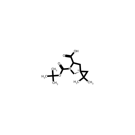 CC(C)(C)OC(=O)N1C[C@]2(CC1C(=O)O)CC2(C)C